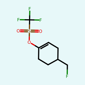 O=S(=O)(OC1=CCC(CF)CC1)C(F)(F)F